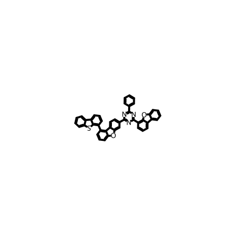 c1ccc(-c2nc(-c3ccc4c(c3)oc3cccc(-c5cccc6c5sc5ccccc56)c34)nc(-c3cccc4c3oc3ccccc34)n2)cc1